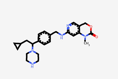 CN1C(=O)OCc2cnc(NCc3ccc(C(CC4CC4)N4CCNCC4)cc3)cc21